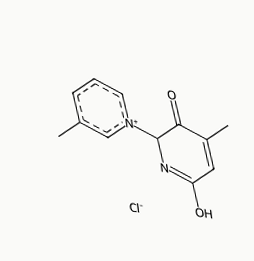 CC1=CC(O)=NC([n+]2cccc(C)c2)C1=O.[Cl-]